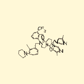 Cc1cn(C2(n3cnc(C)c3)CC=C3C(=O)[N+](Cc4cccc(N5CCCCC5)c4C)(c4cccc(C(F)(F)F)c4C)CCN3C2=O)cn1